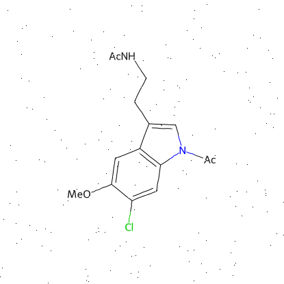 COc1cc2c(CCNC(C)=O)cn(C(C)=O)c2cc1Cl